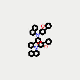 c1cc(-c2ccccc2N(c2ccc3c(c2)oc2ccccc23)c2cccc3ccccc23)cc(N(c2ccc3c(c2)oc2ccccc23)c2cccc3ccccc23)c1